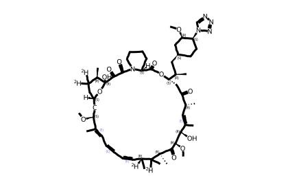 [2H]C1([2H])C[C@H]2C[C@H](OC)/C(C)=C/C=C/C=C/[C@@]([2H])(C)C([2H])(C)[C@@H](C)C(=O)[C@H](OC)[C@H](O)/C(C)=C/[C@@H](C)C(=O)C[C@@H]([C@H](C)C[C@@H]3CC[C@H](n4cnnn4)[C@H](OC)C3)OC(=O)[C@@H]3CCCCN3C(=O)C(=O)[C@](O)(O2)[C@@H]1C